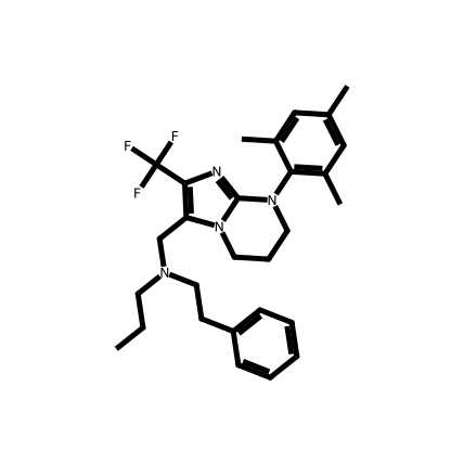 CCCN(CCc1ccccc1)Cc1c(C(F)(F)F)nc2n1CCCN2c1c(C)cc(C)cc1C